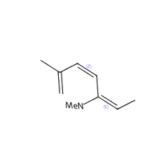 C=C(C)/C=C\C(=C/C)NC